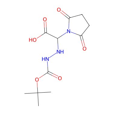 CC(C)(C)OC(=O)NNC(C(=O)O)N1C(=O)CCC1=O